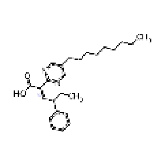 CCCCCCCCCc1cnc(/C(=C\C(CC)c2ccccc2)C(=O)O)nc1